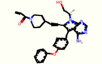 C=CC(=O)N1CCC(C#Cc2c(-c3ccc(Oc4ccccc4)cc3)c3c(N)ncnc3n2[C@@H](C)CO)CC1